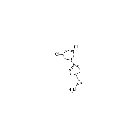 NC1CC1c1ccc(-c2cc(Cl)cc(Cl)c2)nc1